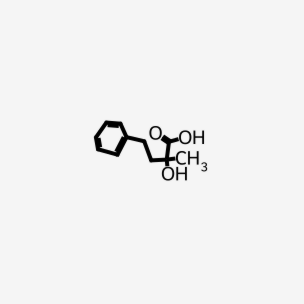 CC(O)(CCc1ccccc1)C(=O)O